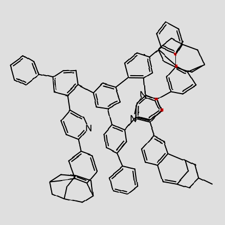 CC1CC2=Cc3ccc(-c4ccc(-c5cc(-c6ccccc6)ccc5-c5cc(-c6ccc(-c7ccccc7)cc6-c6ccc(-c7ccc8c(c7)C7CC9CC(CC8C9)C7)nc6)cc(-c6ccc(-c7ccccc7)cc6-c6ccc(-c7ccc8c(c7)C7CC9CC(CC8C9)C7)nc6)c5)cn4)cc3C(C2)C1